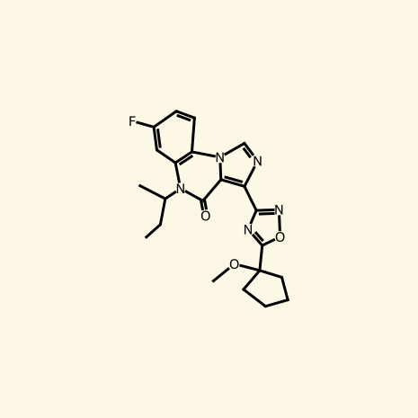 CCC(C)n1c(=O)c2c(-c3noc(C4(OC)CCCC4)n3)ncn2c2ccc(F)cc21